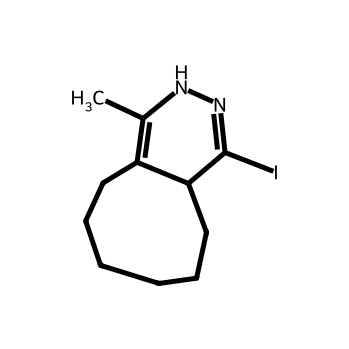 CC1=C2CCCCCCC2C(I)=NN1